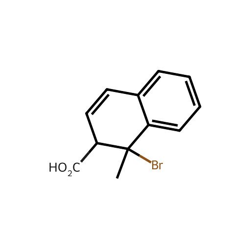 CC1(Br)c2ccccc2C=CC1C(=O)O